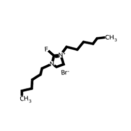 CCCCCCN1CC[N+](CCCCCC)=C1F.[Br-]